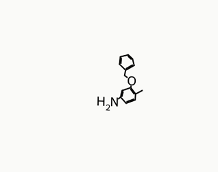 Cc1ccc(N)cc1OCc1ccccc1